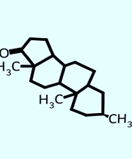 C[C@H]1CCC2(C)C(CCC3C4CCC(=O)C4(C)CCC32)C1